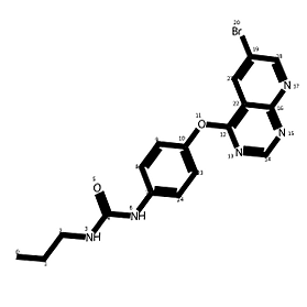 CCCNC(=O)Nc1ccc(Oc2ncnc3ncc(Br)cc23)cc1